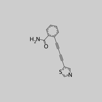 NC(=O)c1ccccc1C#CC#Cc1cncs1